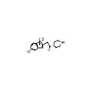 Cl.N#Cc1ccc2[nH]c(CC(=O)N3CCNCC3)cc2c1